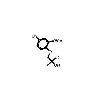 CCC(C)(O)COc1ccc(Br)cc1OC